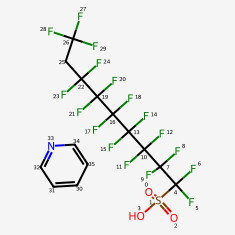 O=S(=O)(O)C(F)(F)C(F)(F)C(F)(F)C(F)(F)C(F)(F)C(F)(F)C(F)(F)CC(F)(F)F.c1ccncc1